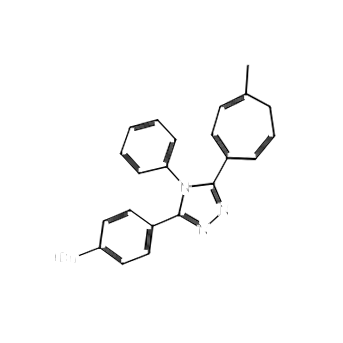 CC1=CC=C(c2nnc(-c3ccc(C(C)(C)C)cc3)n2-c2ccccc2)C=CC1